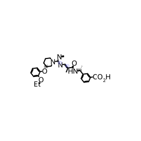 C=N/C(=N\C=C(/C)C(=O)N[C@H](C)c1cccc(C(=O)O)c1)N1CCC[C@@H](Oc2ccccc2OCC)C1